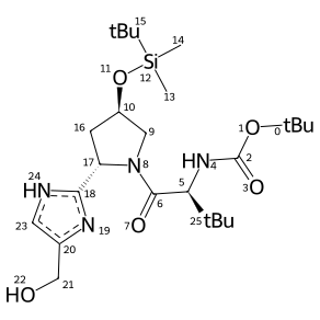 CC(C)(C)OC(=O)N[C@H](C(=O)N1C[C@H](O[Si](C)(C)C(C)(C)C)C[C@H]1c1nc(CO)c[nH]1)C(C)(C)C